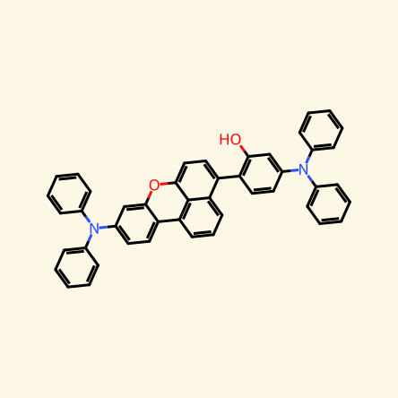 Oc1cc(N(c2ccccc2)c2ccccc2)ccc1-c1ccc2c3c(cccc13)-c1ccc(N(c3ccccc3)c3ccccc3)cc1O2